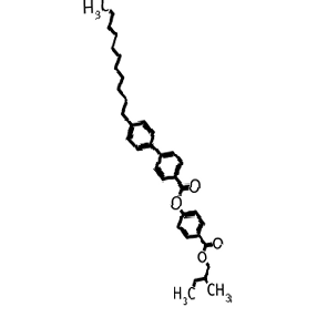 CCCCCCCCCCCc1ccc(-c2ccc(C(=O)Oc3ccc(C(=O)OCC(C)CC)cc3)cc2)cc1